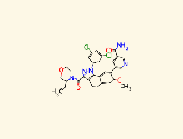 CC[C@H]1COCCN1C(=O)c1nn(-c2cc(Cl)cc(Cl)c2)c2c1CCc1cc(OC)c(-c3cncc(C(N)=O)c3)cc1-2